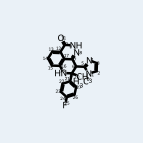 Cn1ccnc1C1c2n[nH]c(=O)c3cccc(c23)NC1(C)c1ccc(F)cc1